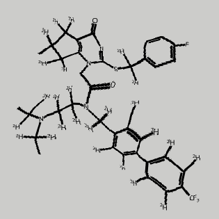 [2H]c1c([2H])c(C(F)(F)F)c([2H])c([2H])c1-c1c([2H])c([2H])c(C([2H])([2H])N(C(=O)Cn2c(SC([2H])([2H])c3ccc(F)cc3)nc(=O)c3c2C([2H])([2H])C([2H])(C)C3([2H])[2H])C([2H])([2H])C([2H])([2H])N(C([2H])([2H])C)C([2H])([2H])C)c([2H])c1[2H]